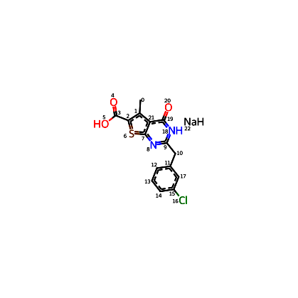 Cc1c(C(=O)O)sc2nc(Cc3cccc(Cl)c3)[nH]c(=O)c12.[NaH]